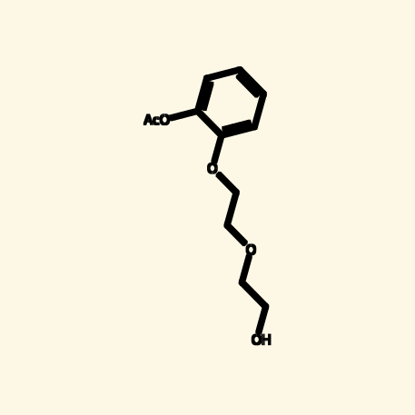 CC(=O)Oc1ccccc1OCCOCCO